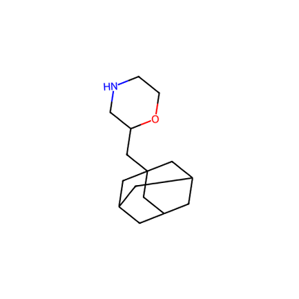 C1COC(CC23CC4CC(CC(C4)C2)C3)CN1